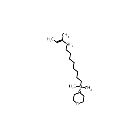 CC=C(C)[SiH2]CCCCCCCC[Si](C)(C)N1CCOCC1